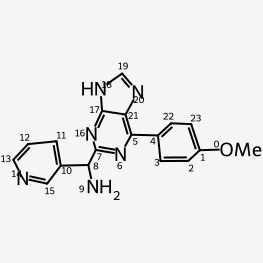 COc1ccc(-c2nc(C(N)c3cccnc3)nc3[nH]cnc23)cc1